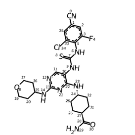 N#Cc1cc(F)c(NC(=S)Nc2cnc(NC3CCOCC3)nc2N[C@H]2CC[C@H](C(N)=O)CC2)c(Cl)c1